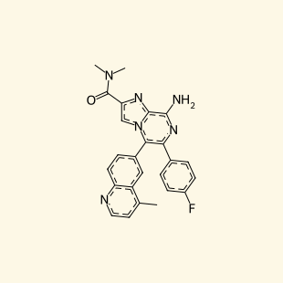 Cc1ccnc2ccc(-c3c(-c4ccc(F)cc4)nc(N)c4nc(C(=O)N(C)C)cn34)cc12